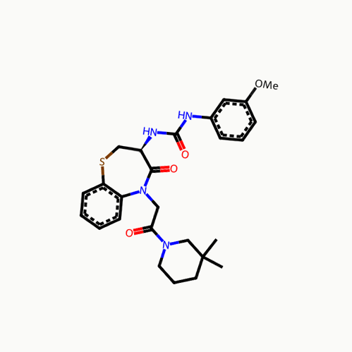 COc1cccc(NC(=O)N[C@@H]2CSc3ccccc3N(CC(=O)N3CCCC(C)(C)C3)C2=O)c1